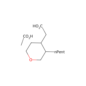 CC(=O)O.CCCCCC1COCCC1CC(=O)O